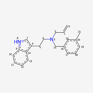 C=CCN(CCc1c[nH]c2ccccc12)Cc1cccc(C)c1